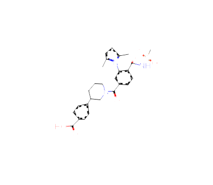 Cc1ccc(C)n1-c1cc(C(=O)N2CCCC(c3ccc(C(=O)O)cc3)C2)ccc1C(=O)NS(C)(=O)=O